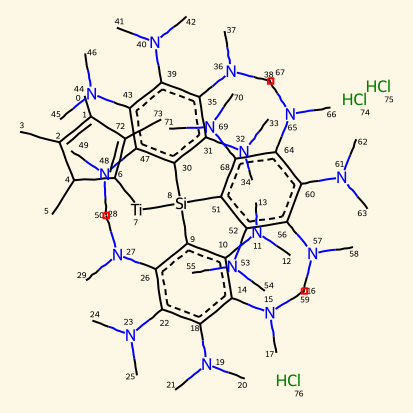 CC1=C(C)C(C)[C]([Ti][Si](c2c(N(C)C)c(N(C)C)c(N(C)C)c(N(C)C)c2N(C)C)(c2c(N(C)C)c(N(C)C)c(N(C)C)c(N(C)C)c2N(C)C)c2c(N(C)C)c(N(C)C)c(N(C)C)c(N(C)C)c2N(C)C)=C1C.Cl.Cl.Cl